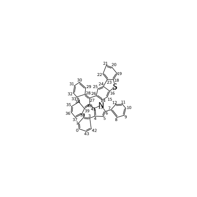 c1ccc(-c2cc(-c3ccccc3)n3c4cc5sc6ccccc6c5cc4c4c5ccccc5c5ccccc5c4c23)cc1